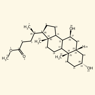 COC(=O)CC[C@@H](C)[C@H]1CCC2C3C(CC[C@@]21C)[C@@]1(C)CC[C@@H](O)C[C@H]1C[C@@H]3O